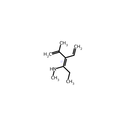 C=C/C(C(=C)C)=C(\CC)NC